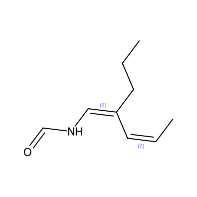 C/C=C\C(=C/NC=O)CCC